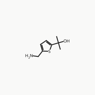 CC(C)(O)c1ccc(CN)s1